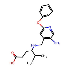 CC(C)[C@H](CCC(=O)O)NCc1cc(Oc2ccccc2)ncc1N